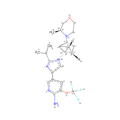 CC(C)c1nc(-c2cnc(N)c(OC(F)(F)F)c2)cn1[C@@]12C3C(N4CCOC[C@@H]4C)C[C@H]1[C@@H]32